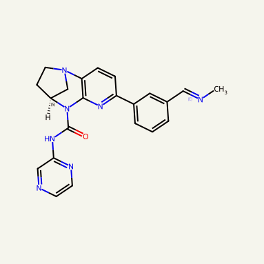 C/N=C/c1cccc(-c2ccc3c(n2)N(C(=O)Nc2cnccn2)[C@H]2CCN3C2)c1